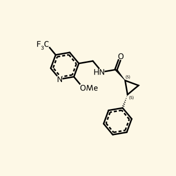 COc1ncc(C(F)(F)F)cc1CNC(=O)[C@H]1C[C@@H]1c1ccccc1